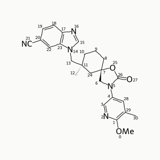 COc1ncc(N2C[C@@]3(CCC[C@](C)(Cn4cnc5ccc(C#N)cc54)C3)OC2=O)cc1C